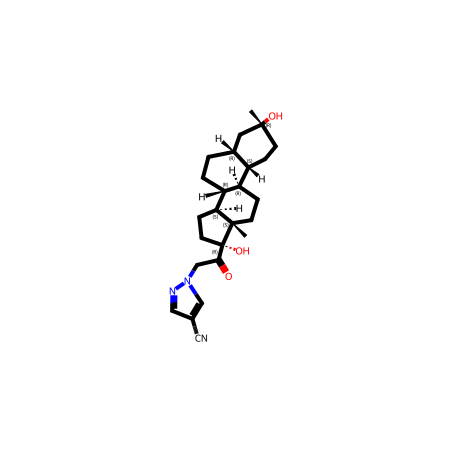 C[C@@]1(O)CC[C@H]2[C@H](CC[C@@H]3[C@@H]2CC[C@@]2(C)[C@H]3CC[C@]2(O)C(=O)Cn2cc(C#N)cn2)C1